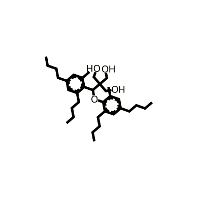 CCCCc1cc(C)c(OC(c2c(C)cc(CCCC)cc2CCCC)C(CO)(CO)CO)c(CCCC)c1